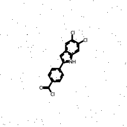 O=C(Cl)c1ccc(-c2cc3cc(Cl)c(Cl)cc3[nH]2)cc1